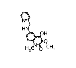 COc1c(O)c2cc(NCc3ccccn3)ccc2n(C)c1=O